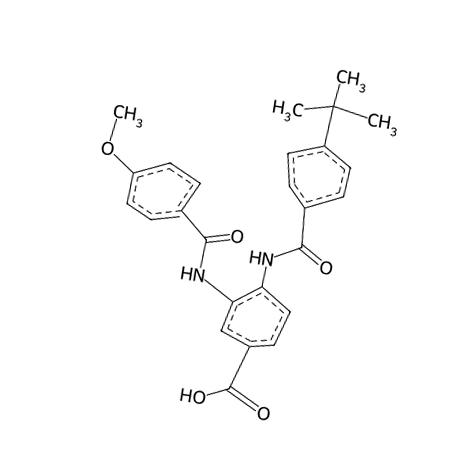 COc1ccc(C(=O)Nc2cc(C(=O)O)ccc2NC(=O)c2ccc(C(C)(C)C)cc2)cc1